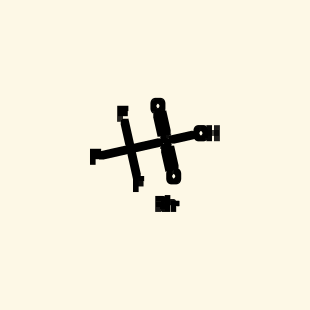 O=S(=O)(O)C(F)(F)F.[Rh]